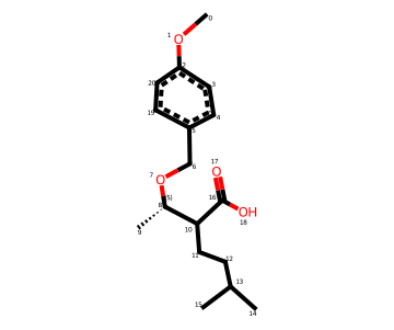 COc1ccc(CO[C@@H](C)C(CCC(C)C)C(=O)O)cc1